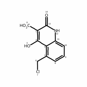 O=C(O)c1c(O)c2c(CCl)cccc2[nH]c1=O